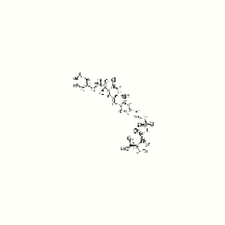 CN1Sc2cc(S(=O)(=O)NCc3ccccc3)c(Cl)cc2NC1CCCCCP(=O)(O)CC(=O)N1CCC[C@H]1C(=O)O